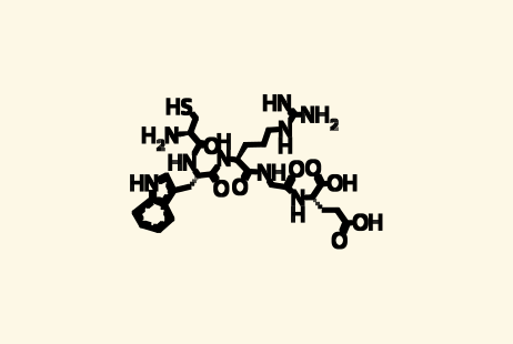 N=C(N)NCCC[C@H](NC(=O)[C@H](Cc1c[nH]c2ccccc12)NC(=O)[C@@H](N)CS)C(=O)NCC(=O)N[C@@H](CCC(=O)O)C(=O)O